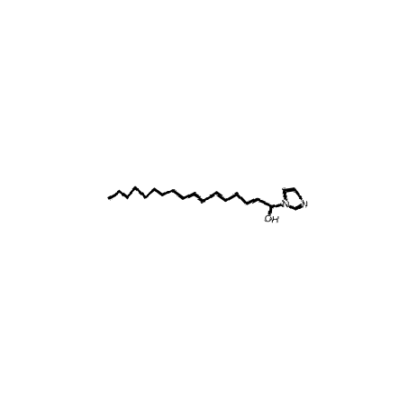 CCCCCCCCCCCCCCCCC(O)N1C=NCC1